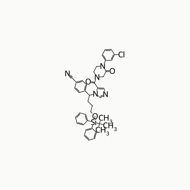 CC(C)(C)[Si](OCCCC(c1ccc(C#N)cc1)n1cncc1C(=O)N1CCN(c2cccc(Cl)c2)C(=O)C1)(c1ccccc1)c1ccccc1